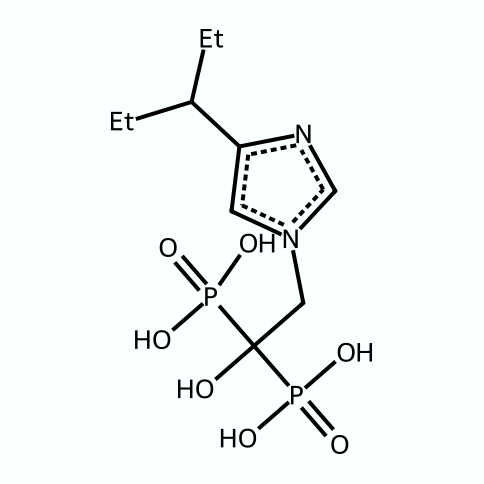 CCC(CC)c1cn(CC(O)(P(=O)(O)O)P(=O)(O)O)cn1